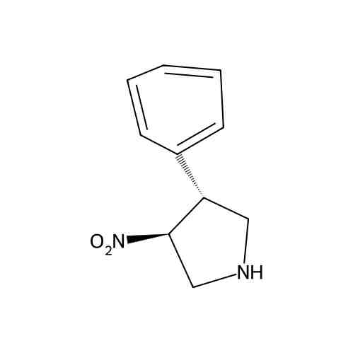 O=[N+]([O-])[C@@H]1CNC[C@H]1c1ccccc1